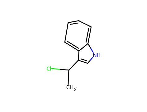 [CH2]C(Cl)c1c[nH]c2ccccc12